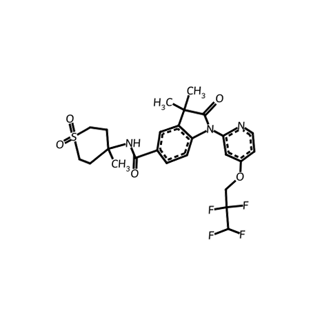 CC1(NC(=O)c2ccc3c(c2)C(C)(C)C(=O)N3c2cc(OCC(F)(F)C(F)F)ccn2)CCS(=O)(=O)CC1